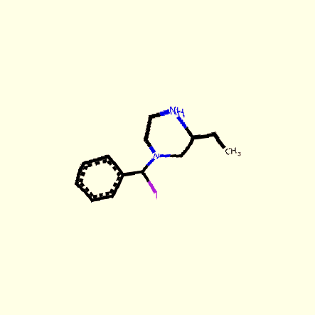 CCC1CN(C(I)c2ccccc2)CCN1